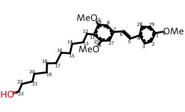 COc1ccc(/C=C/c2cc(OC)c(CCCCCCCCCCCCO)c(OC)c2)cc1